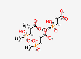 CP(=O)(O)CCC(=O)[O-].CP(=O)(O)CCC(=O)[O-].CP(=O)(O)CCC(=O)[O-].[Al+3]